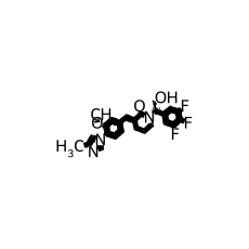 COc1cc(C=C2CCCN([C@@H](CO)c3cc(F)c(F)c(F)c3)C2=O)ccc1-n1cnc(C)c1